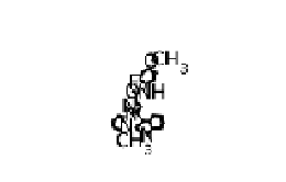 COc1ccc(NC(=O)c2cc(-c3ccnc4ccccc34)n(-c3cccc(C)n3)n2)c(F)c1